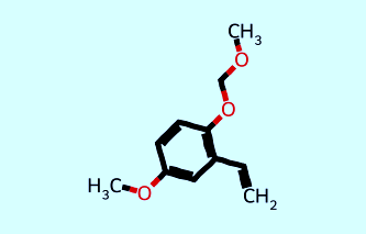 C=Cc1cc(OC)ccc1OCOC